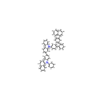 c1ccc(-n2c3ccc(-c4ccc5c6ccccc6n(-c6ccc(-c7ccccc7-c7ccc8c(c7)-c7cccc9cccc-8c79)cc6)c5c4)cc3c3ccc4ccccc4c32)cc1